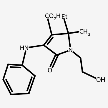 CCC1(C)C(C(=O)O)=C(Nc2ccccc2)C(=O)N1CCO